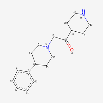 O=C(CN1CCC(c2ccccc2)CC1)C1CCNCC1